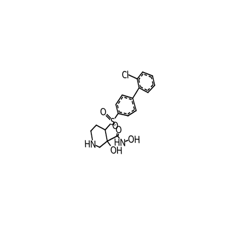 O=C(NO)C1(O)CNCCC1S(=O)(=O)c1ccc(-c2ccccc2Cl)cc1